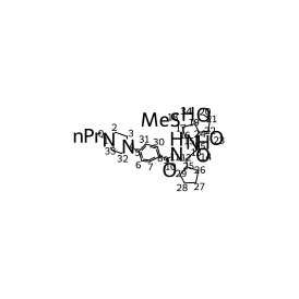 CCCN1CCN(c2ccc(C(=O)N[C@H](C(=O)N3C[C@H](SC)[C@H]4OCC(=O)[C@H]43)C3CCCC3)cc2)CC1